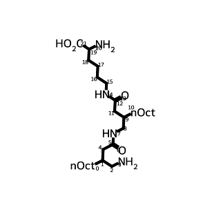 CCCCCCCCC(CN)CC(=O)NCC(CCCCCCCC)CC(=O)NCCCCC(N)C(=O)O